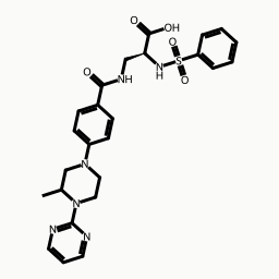 CC1CN(c2ccc(C(=O)NC[C@H](NS(=O)(=O)c3ccccc3)C(=O)O)cc2)CCN1c1ncccn1